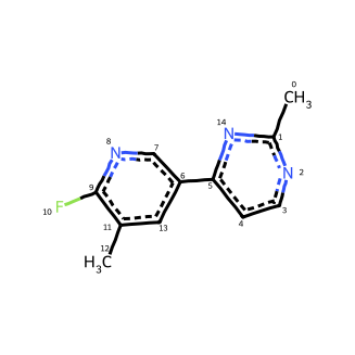 Cc1nccc(-c2cnc(F)c(C)c2)n1